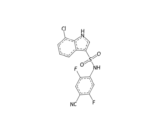 N#Cc1cc(F)c(NS(=O)(=O)c2c[nH]c3c(Cl)cccc23)cc1F